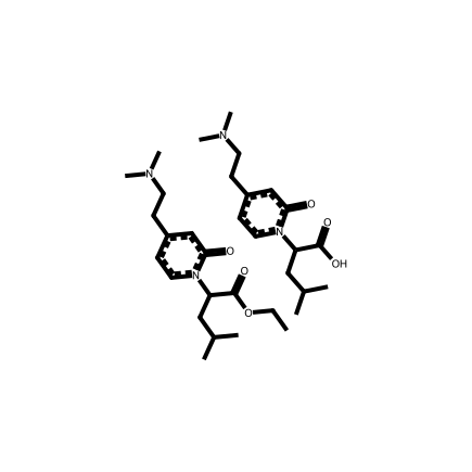 CC(C)CC(C(=O)O)n1ccc(CCN(C)C)cc1=O.CCOC(=O)C(CC(C)C)n1ccc(CCN(C)C)cc1=O